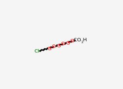 O=C(O)COCCOCCOCCOCCOCCOCCCCCCCl